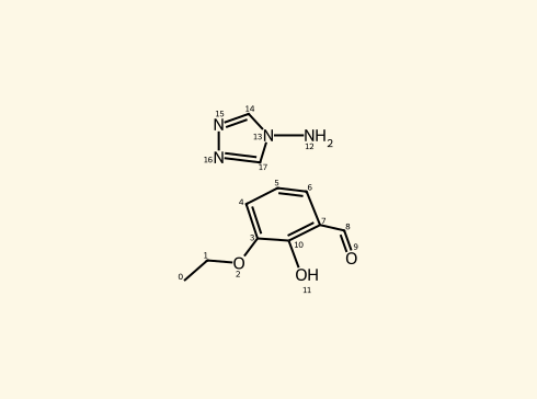 CCOc1cccc(C=O)c1O.Nn1cnnc1